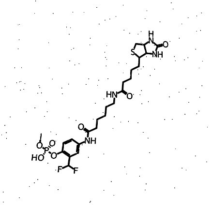 O=C(CCCCC1SCC2NC(=O)NC21)NCCCCCC(=O)Nc1ccc(OP(=O)(O)OI)c(C(F)F)c1